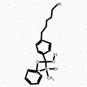 CCOC(Oc1ccccc1)(c1ccc(CCCCCC(C)C)cc1)[N+](C)(C)CC